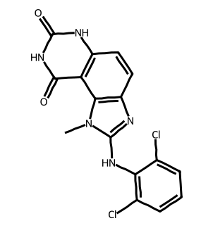 Cn1c(Nc2c(Cl)cccc2Cl)nc2ccc3[nH]c(=O)[nH]c(=O)c3c21